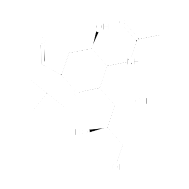 CC(=O)NC1C([C@H](O)[C@H](O)CO)O[C@](C=O)(C(C)(C)C)C[C@H]1O